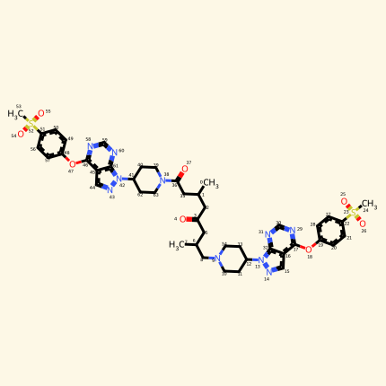 CC(CC(=O)CC(C)CN1CCC(n2ncc3c(Oc4ccc(S(C)(=O)=O)cc4)ncnc32)CC1)CC(=O)N1CCC(n2ncc3c(Oc4ccc(S(C)(=O)=O)cc4)ncnc32)CC1